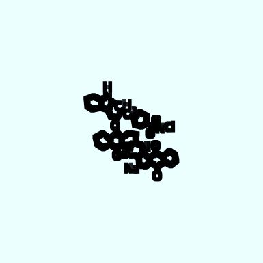 Cc1ccc(S(=O)(=O)[N-]Cl)cc1.O=c1c2ccccc2c(=O)c2c1ccc1[nH]c3c(ccc4c(=O)c5ccccc5c(=O)c43)[nH]c12.[Na+].c1ccc2c(c1)[nH]c1ccccc12